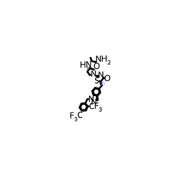 CC(N[C@H]1CCN(C2=NC(=O)/C(=C/c3ccc4c(cnn4Cc4ccc(C(F)(F)F)cc4C(F)(F)F)c3)S2)C1)C(N)=O